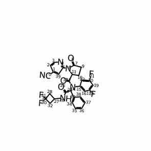 N#Cc1ccnc(N2C(=O)CCC2C(=O)N(c2cc(F)cc(F)c2)[C@H](C(=O)NC2CC(F)(F)C2)c2ccccc2)c1